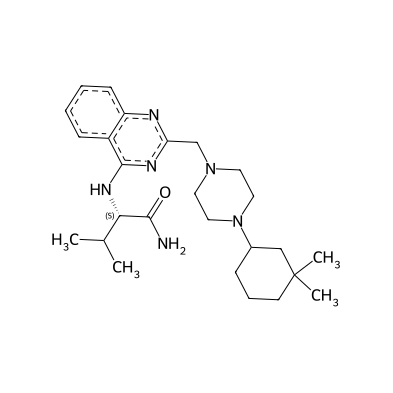 CC(C)[C@H](Nc1nc(CN2CCN(C3CCCC(C)(C)C3)CC2)nc2ccccc12)C(N)=O